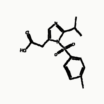 Cc1ccc(S(=O)(=O)n2c(CC(=O)O)cnc2C(C)C)cc1